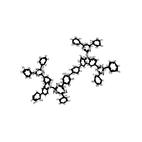 c1ccc(-c2ccc3c(c2)c2cc(-c4nc(-c5ccccc5)nc(-c5ccccc5)n4)ccc2n3-c2nc(-c3ccccc3)nc(-c3ccc(-c4ccc(-c5ccc6c(c5)c5cc(-c7nc(-c8ccccc8)nc(-c8ccccc8)n7)ccc5n6-c5nc(-c6ccccc6)cc(-c6ccccc6)n5)cc4)cc3)n2)cc1